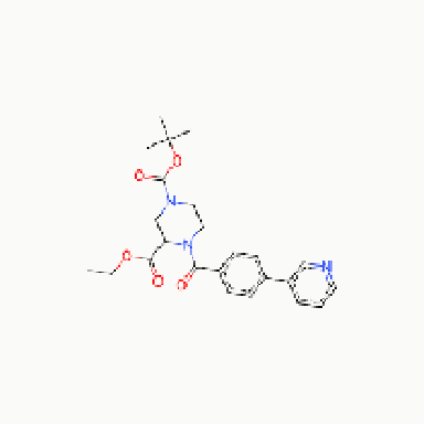 CCOC(=O)C1CN(C(=O)OC(C)(C)C)CCN1C(=O)c1ccc(-c2cccnc2)cc1